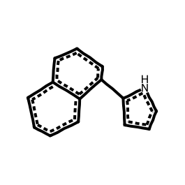 c1c[nH]c(-c2cccc3ccccc23)c1